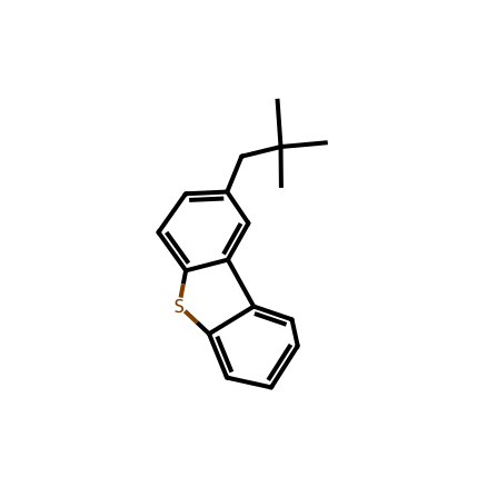 CC(C)(C)Cc1ccc2sc3ccccc3c2c1